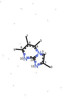 Cc1cn2c(C)c(C)c(C)nc2n1